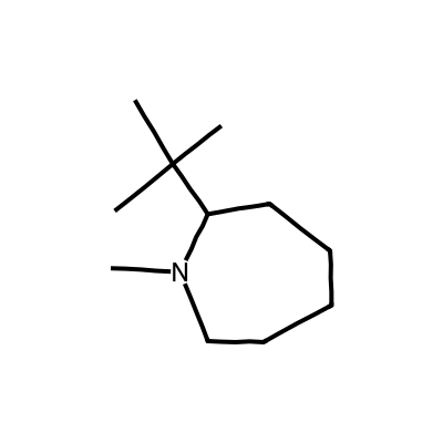 CN1CCCCCC1C(C)(C)C